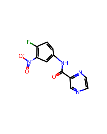 O=C(Nc1ccc(F)c([N+](=O)[O-])c1)c1cnccn1